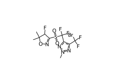 Cn1nc(C(F)(F)Br)c(C(F)(F)S(=O)(=O)C2=NOC(C)(C)C2F)n1